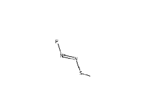 CSN=NF